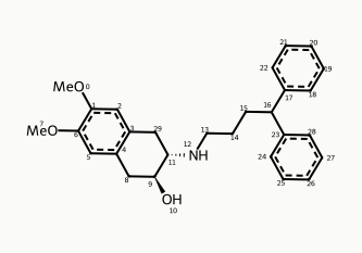 COc1cc2c(cc1OC)C[C@H](O)[C@@H](NCCCC(c1ccccc1)c1ccccc1)C2